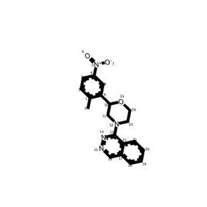 Cc1ccc([N+](=O)[O-])cc1C1CN(c2nncc3ccccc23)CCO1